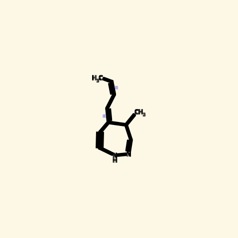 C/C=C\C=C1\C#CNN=CC1C